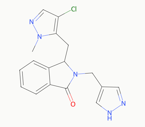 Cn1ncc(Cl)c1CC1c2ccccc2C(=O)N1Cc1cn[nH]c1